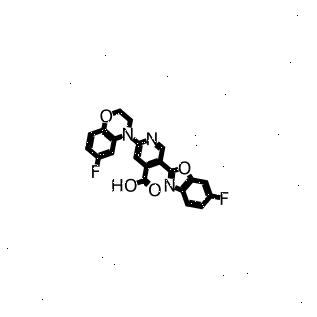 O=C(O)c1cc(N2CCOc3ccc(F)cc32)ncc1-c1nc2ccc(F)cc2o1